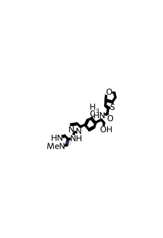 CN/C=C(\C=N)Nc1nccc(-c2ccc(C(CO)NC(=O)c3cc4c(s3)CCOC4)c(C)c2)n1